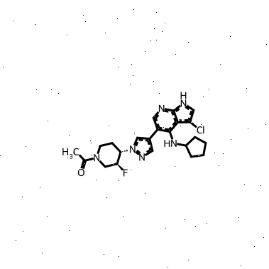 CC(=O)N1CC[C@H](n2cc(-c3cnc4[nH]cc(Cl)c4c3NC3CCCC3)cn2)[C@@H](F)C1